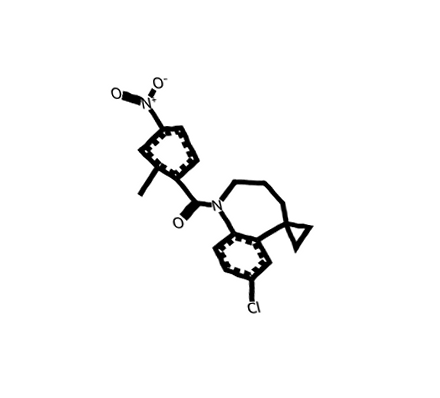 Cc1cc([N+](=O)[O-])ccc1C(=O)N1CCCC2(CC2)c2cc(Cl)ccc21